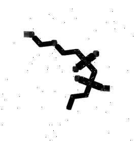 CCCS(=N)(=O)CS(=O)(=O)CCOCO